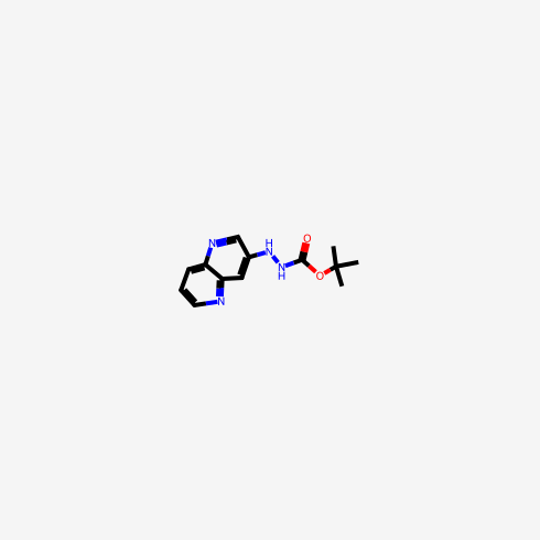 CC(C)(C)OC(=O)NNc1cnc2cccnc2c1